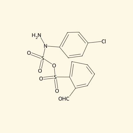 NN(c1ccc(Cl)cc1)S(=O)(=O)OS(=O)(=O)c1ccccc1C=O